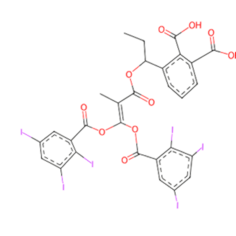 CCC(OC(=O)C(C)=C(OC(=O)c1cc(I)cc(I)c1I)OC(=O)c1cc(I)cc(I)c1I)c1cccc(C(=O)O)c1C(=O)O